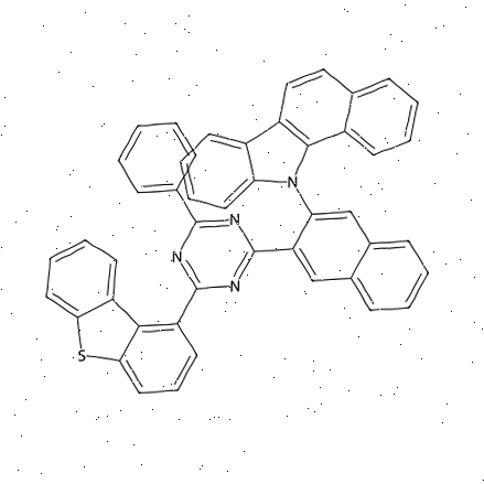 c1ccc(-c2nc(-c3cc4ccccc4cc3-n3c4ccccc4c4ccc5ccccc5c43)nc(-c3cccc4sc5ccccc5c34)n2)cc1